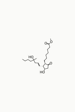 CCCCC(C)(O)C/C=C/[C@H]1C(O)CC(=O)[C@@H]1CCCCCCC(=O)OC